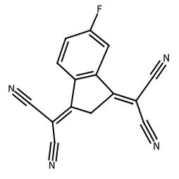 N#CC(C#N)=C1CC(=C(C#N)C#N)c2cc(F)ccc21